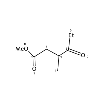 CCC(=O)C(C)CC(=O)OC